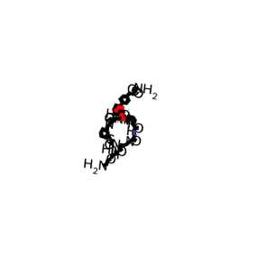 NCCOCCNC(=O)[C@@H]1CCNC(=O)/C=C/C(=O)N2CCC[C@](Cc3ccccc3)(C2)C(=O)N[C@@H](Cc2ccc(-c3ccc(CCS(N)(=O)=O)cc3)cc2)C(=O)NCc2ccccc2CC(=O)N1